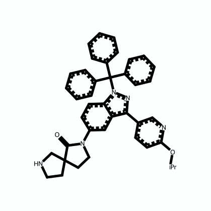 CC(C)Oc1ccc(-c2nn(C(c3ccccc3)(c3ccccc3)c3ccccc3)c3ccc(N4CCC5(CCNC5)C4=O)cc23)cn1